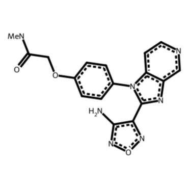 CNC(=O)COc1ccc(-n2c(-c3nonc3N)nc3cnccc32)cc1